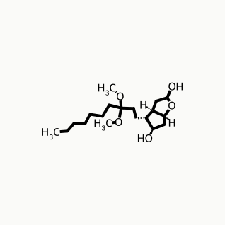 CCCCCCCC(CC[C@@H]1[C@H]2CC(O)O[C@H]2C[C@H]1O)(OC)OC